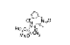 CO[C@H](C)[C@H](NC(=O)C[C@@H]1CCC(=O)N1Cc1cccc(Cl)c1)C(=O)O